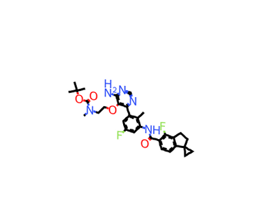 Cc1c(NC(=O)c2ccc3c(c2F)CCC32CC2)cc(F)cc1-c1ncnc(N)c1OCCN(C)C(=O)OC(C)(C)C